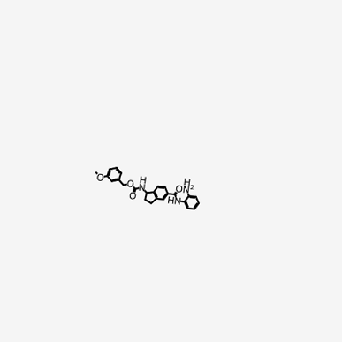 COc1cccc(COC(=O)NC2CCc3cc(C(=O)Nc4ccccc4N)ccc32)c1